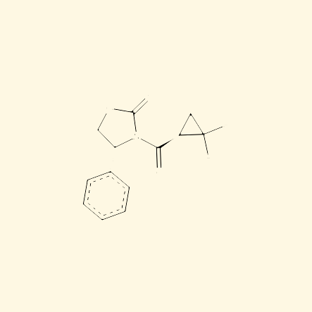 O=C1OC[C@@H](c2ccccc2)N1C(=O)[C@H]1CC1(F)F